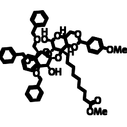 COC(=O)CCCCCCCC[C@]1(O[C@H]2O[C@H](COCc3ccccc3)[C@@H](OCc3ccccc3)[C@H](OCc3ccccc3)[C@H]2O)[C@@H]2OC(c3ccc(OC)cc3)OC[C@H]2O[C@H](O)[C@@H]1OCc1ccccc1